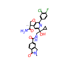 CN1Cc2cc(C(=O)NCC(O)(c3cc4c(c(-c5ccc(F)c(Cl)c5)n3)OC[C@]4(C)C(N)=O)C3CC3)ccc2C1=O